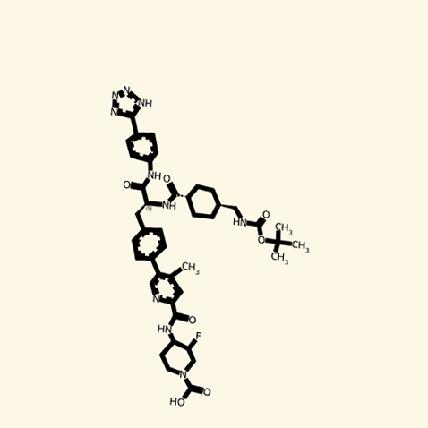 Cc1cc(C(=O)NC2CCN(C(=O)O)CC2F)ncc1-c1ccc(C[C@H](NC(=O)[C@H]2CC[C@H](CNC(=O)OC(C)(C)C)CC2)C(=O)Nc2ccc(-c3nnn[nH]3)cc2)cc1